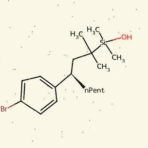 CCCCC[C@H](CC(C)(C)[Si](C)(C)O)c1ccc(Br)cc1